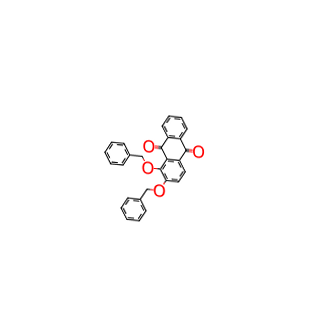 O=C1c2ccccc2C(=O)c2c1ccc(OCc1ccccc1)c2OCc1ccccc1